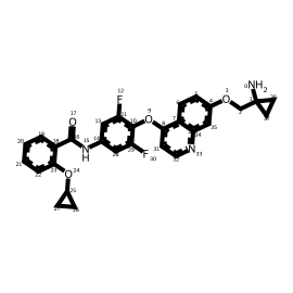 NC1(COc2ccc3c(Oc4c(F)cc(NC(=O)c5ccccc5OC5CC5)cc4F)ccnc3c2)CC1